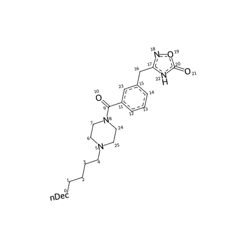 CCCCCCCCCCCCCCN1CCN(C(=O)c2cccc(Cc3noc(=O)[nH]3)c2)CC1